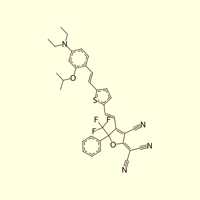 CCN(CC)c1ccc(/C=C/c2ccc(/C=C/C3=C(C#N)C(=C(C#N)C#N)OC3(c3ccccc3)C(F)(F)F)s2)c(OC(C)C)c1